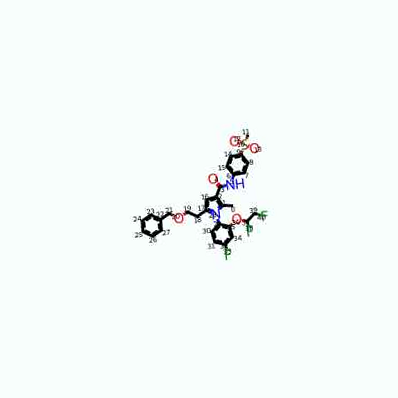 Cc1c(C(=O)Nc2ccc(S(C)(=O)=O)cc2)cc(CCOCc2ccccc2)n1-c1ccc(F)cc1OC(F)CF